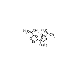 C=C(C)C(=O)OC(CC)P(=O)(O)C(CC)OC(=O)C(=C)C